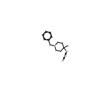 CC1(N=[N+]=[N-])[CH]CN(Cc2ccccc2)CC1